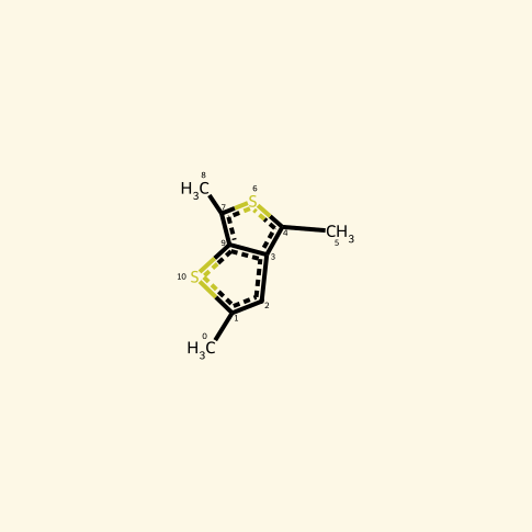 Cc1cc2c(C)sc(C)c2s1